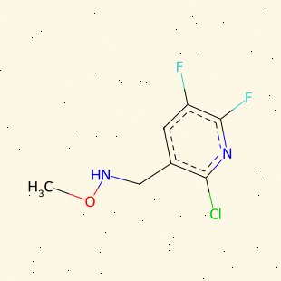 CONCc1cc(F)c(F)nc1Cl